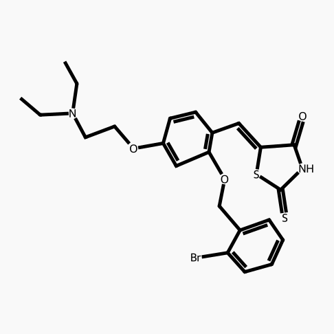 CCN(CC)CCOc1ccc(/C=C2\SC(=S)NC2=O)c(OCc2ccccc2Br)c1